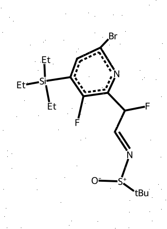 CC[Si](CC)(CC)c1cc(Br)nc(C(F)/C=N/[S+]([O-])C(C)(C)C)c1F